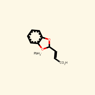 O=C(O)C=CC1Oc2ccccc2O1.[PbH2]